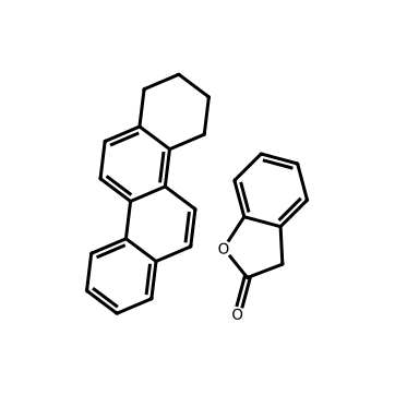 O=C1Cc2ccccc2O1.c1ccc2c(c1)ccc1c3c(ccc12)CCCC3